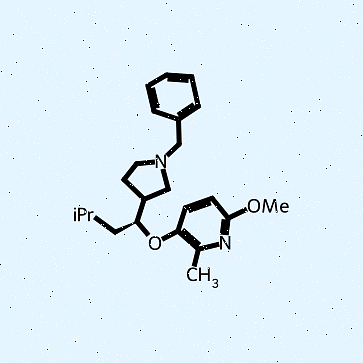 COc1ccc(O[C@@H](CC(C)C)C2CCN(Cc3ccccc3)C2)c(C)n1